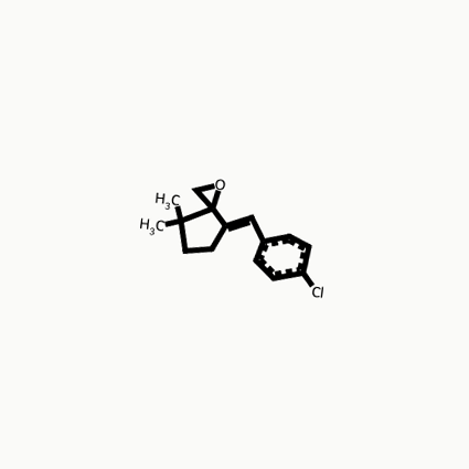 CC1(C)CCC(=Cc2ccc(Cl)cc2)C12CO2